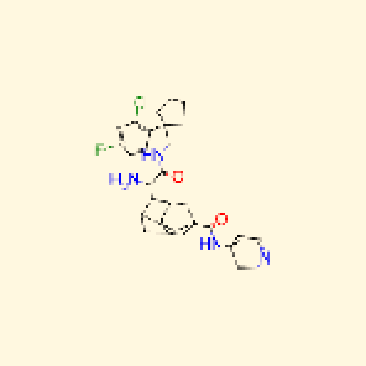 NC(C(=O)NCC1(c2ccc(F)cc2Cl)CCCC1)C1C2CC3CC1CC(C(=O)Nc1ccncc1)(C3)C2